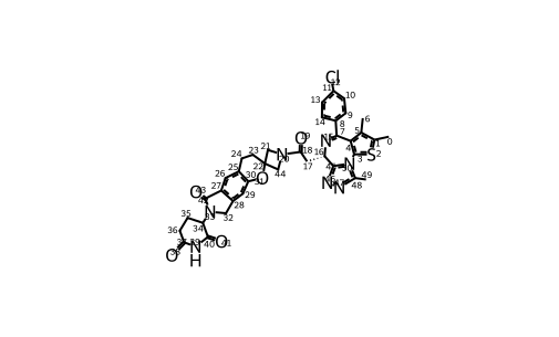 Cc1sc2c(c1C)C(c1ccc(Cl)cc1)=N[C@@H](CC(=O)N1CC3(CCc4cc5c(cc4O3)CN(C3CCC(=O)NC3=O)C5=O)C1)c1nnc(C)n1-2